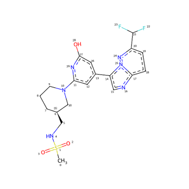 CS(=O)(=O)NC[C@H]1CCCN(c2cc(-c3cnc4ccc(C(F)F)nn34)cc(O)n2)C1